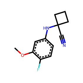 COc1cc(NC2(C#N)CCC2)ccc1F